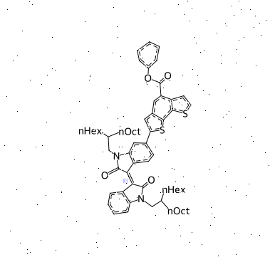 CCCCCCCCC(CCCCCC)CN1C(=O)/C(=C2/C(=O)N(CC(CCCCCC)CCCCCCCC)c3cc(-c4cc5cc(C(=O)Oc6ccccc6)c6ccsc6c5s4)ccc32)c2ccccc21